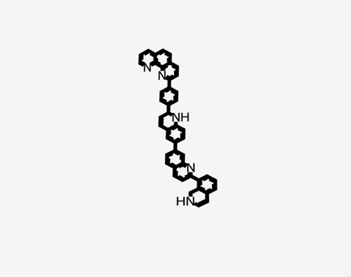 C1=Cc2cccc(-c3ccc4ccc(-c5ccc6c(c5)C=CC(c5ccc(-c7ccc8ccc9cccnc9c8n7)cc5)N6)cc4n3)c2CN1